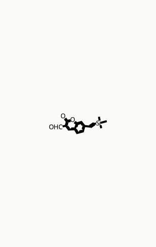 C[Si](C)(C)C#Cc1ccc2cc(C=O)c(=O)oc2c1